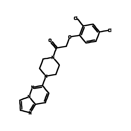 O=C(COc1ccc(Cl)cc1Cl)N1CCN(c2ccc3nccn3n2)CC1